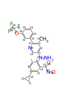 Cc1cc(N(N)c2ccc(C3CC3)cc2C(=O)N=O)cnc1-c1cccc(OC(F)(F)F)c1